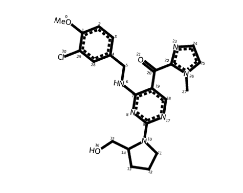 COc1ccc(CNc2nc(N3CCCC3CO)ncc2C(=O)c2nccn2C)cc1Cl